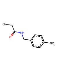 [C-]#[N+]CC(=O)NCc1ccc([N+](=O)[O-])cc1